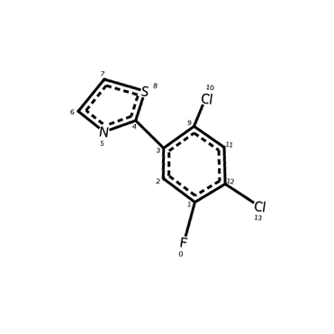 Fc1cc(-c2nccs2)c(Cl)cc1Cl